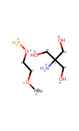 CCCCOCCOP.NC(CO)(CO)CO